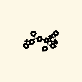 CC1(C)c2ccccc2-c2ccc(N(c3ccccc3)c3ccc(-c4ccc5c(c4)[P@](c4ccccc4)c4ccccc4C54c5ccccc5-n5c6ccccc6c6cccc4c65)cc3)cc21